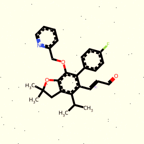 CC(C)c1c(/C=C/C=O)c(-c2ccc(F)cc2)c(OCc2ccccn2)c2c1CC(C)(C)O2